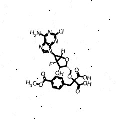 COC(=O)c1ccc(CC(OC[C@H]2O[C@H]3C(n4cnc5c(N)nc(Cl)nc54)[C@@]3(F)[C@@H]2O)(C(=O)O)C(=O)O)cc1